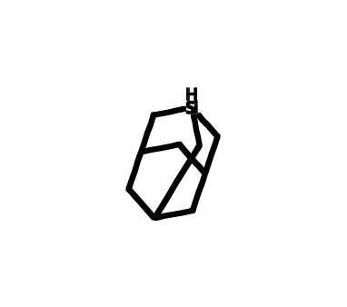 C1C2CC3CC1C[SiH](C2)C3